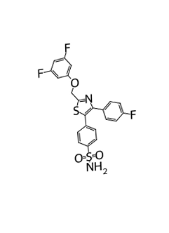 NS(=O)(=O)c1ccc(-c2sc(COc3cc(F)cc(F)c3)nc2-c2ccc(F)cc2)cc1